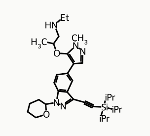 CCNCC(C)Oc1c(-c2ccc3c(c2)c(C#C[Si](C(C)C)(C(C)C)C(C)C)nn3C2CCCCO2)cnn1C